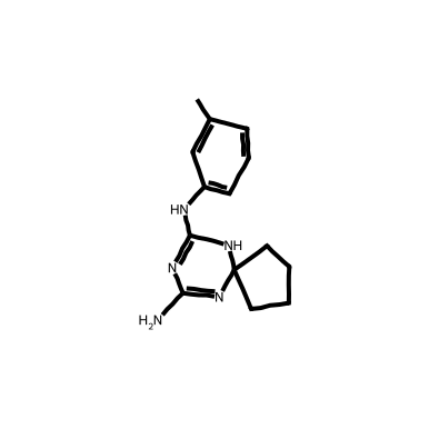 Cc1cccc(NC2=NC(N)=NC3(CCCC3)N2)c1